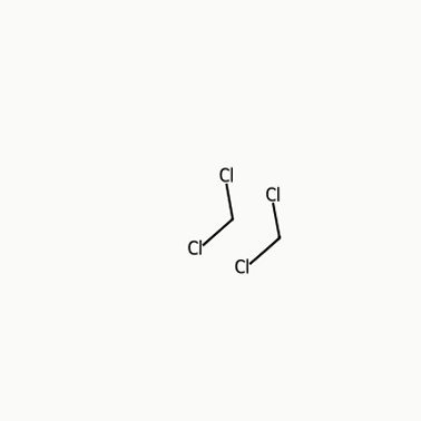 ClCCl.ClCCl